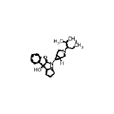 CCC(C(C)C)N1CC2[C@H](C1)[C@H]2NC(=O)C(O)(c1ccccc1)C1CCCC1